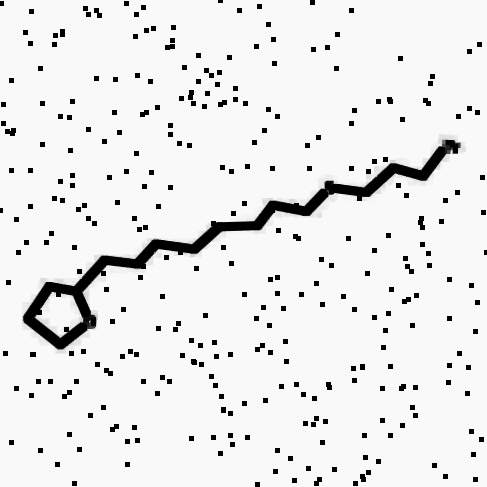 CC(C)CCCSCCCCCCCCC1CCCO1